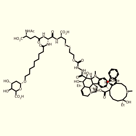 CC[C@]1(O)CCC[C@](C(=O)OC)(c2cc3c(cc2OC)N(C)[C@H]2[C@@](O)(C(=O)NNC(=O)OCCSSC[C@@H](NC(=O)[C@H](NC(=O)CCCCCCCCO[C@H]4C[C@@H](O)C(O)C(C(=O)O)O4)NC(=O)CC[C@H](NC(C)=O)C(=O)O)C(=O)O)[C@H](O)[C@]4(CC)C=CCN5CC[C@]32[C@@H]54)c2[nH]c3ccccc3c2CCN(C)C1